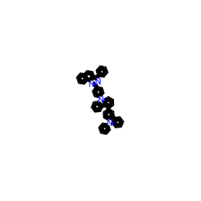 c1ccc(-c2nc(-c3ccc(-n4c5ccccc5c5c(-c6ccc7c(c6)c6ccccc6n7-c6ccccc6)cccc54)cc3)nc3c2ccc2ccccc23)cc1